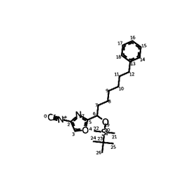 [C-]#[N+]c1coc(C(CCCCCCc2ccccc2)O[Si](C)(C)C(C)(C)C)n1